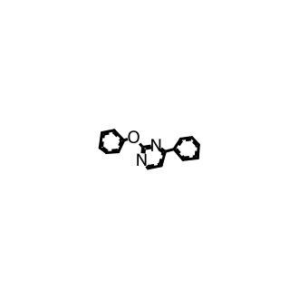 c1ccc(Oc2nccc(-c3ccccc3)n2)cc1